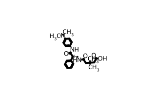 CN(C)c1ccc(NC(=O)[C@H](CNC(=O)CC(C)(C)CC(=O)O)c2ccccc2)cc1